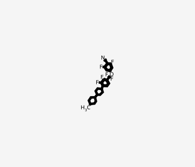 CC1CCC(C2CCC(c3ccc(C(F)(F)Oc4cc(F)c(C#N)c(F)c4)c(F)c3F)CC2)CC1